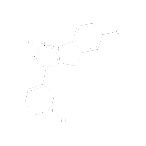 CCN1CCC=C(c2[nH]nc3c2Cc2cc(Cl)ccc2-3)C1.Cl